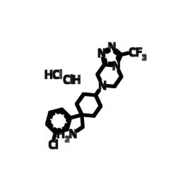 Cl.Cl.NCC1(c2cccc(Cl)c2)CCC(N2CCn3c(nnc3C(F)(F)F)C2)CC1